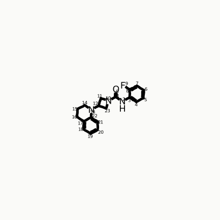 O=C(Nc1ccccc1F)N1CC(N2CCCc3ccccc32)C1